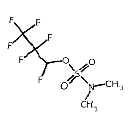 CN(C)S(=O)(=O)OC(F)C(F)(F)C(F)(F)F